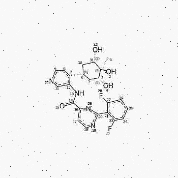 C[C@]1(O)[C@H](O)C[C@H](c2ccncc2NC(=O)c2ccnc(-c3c(F)cccc3F)n2)C[C@@H]1O